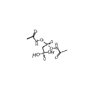 CC(=O)NOP(=O)(CP(=O)(O)O)ONC(C)=O